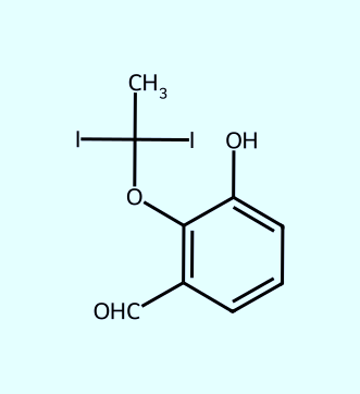 CC(I)(I)Oc1c(O)cccc1C=O